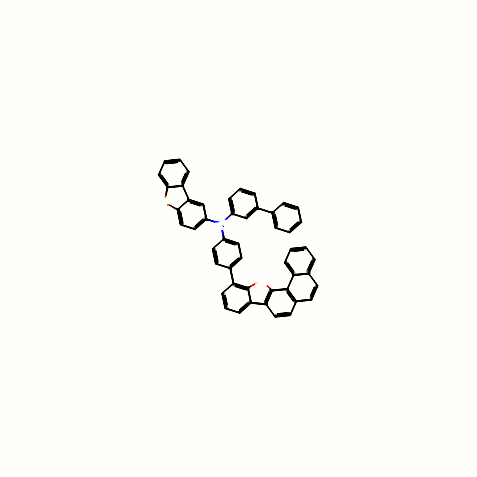 c1ccc(-c2cccc(N(c3ccc(-c4cccc5c4oc4c5ccc5ccc6ccccc6c54)cc3)c3ccc4sc5ccccc5c4c3)c2)cc1